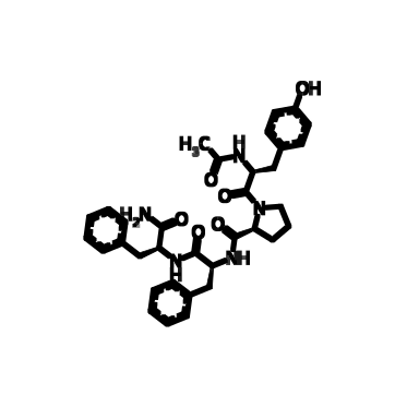 CC(=O)N[C@@H](Cc1ccc(O)cc1)C(=O)N1CCC[C@H]1C(=O)N[C@@H](Cc1ccccc1)C(=O)N[C@@H](Cc1ccccc1)C(N)=O